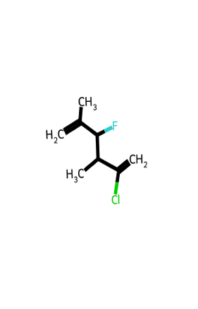 C=C(Cl)C(C)C(F)C(=C)C